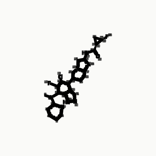 CN(c1ccccn1)c1c(F)c(Cl)c(-c2ccc3nc(NC(=O)[C@@H]4C[C@@H]4F)cn3c2)c2cn[nH]c12